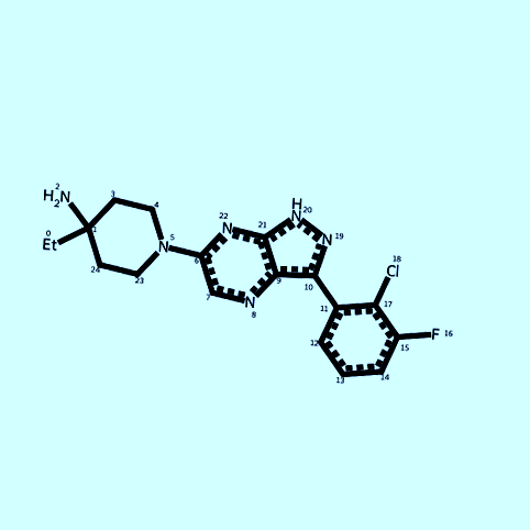 CCC1(N)CCN(c2cnc3c(-c4cccc(F)c4Cl)n[nH]c3n2)CC1